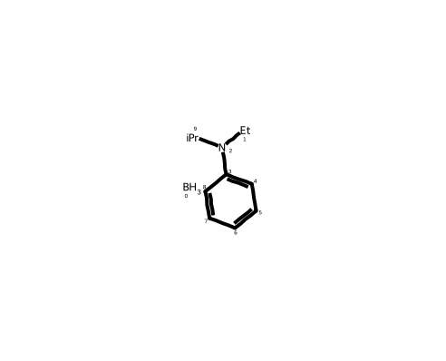 B.CCN(c1ccccc1)C(C)C